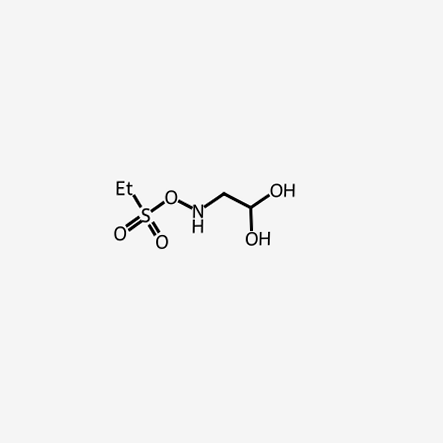 CCS(=O)(=O)ONCC(O)O